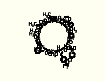 CC[C@H](C)[C@@H]1NC(=O)[C@H](CC(C)C)N(C)C(=O)C[C@@H](C(=O)N2CCOCC2)N(C)C(=O)[C@H](C2CCCC2)N(C)C(=O)C2(CCCC2)NC(=O)[C@H](CCC(=O)N2CCCCC2)N(C)C(=O)[C@H](CCc2ccc(C(F)(F)F)c(Cl)c2)NC(=O)CN(C)C(=O)[C@H](CC2CCCCC2)N(C)C(=O)[C@@H]2CCN2C(=O)[C@H](C)N(C)C1=O